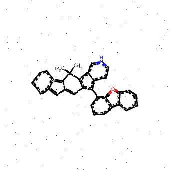 CC1(C)C2=c3ccccc3=CC2=Cc2c(-c3cccc4c3oc3ccccc34)c3cc[nH]cc-3c21